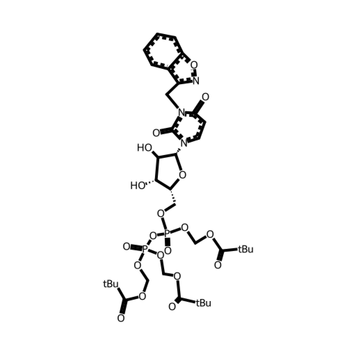 CC(C)(C)C(=O)OCOP(=O)(OCOC(=O)C(C)(C)C)OP(=O)(OCOC(=O)C(C)(C)C)OC[C@H]1O[C@@H](n2ccc(=O)n(Cc3noc4ccccc34)c2=O)C(O)[C@H]1O